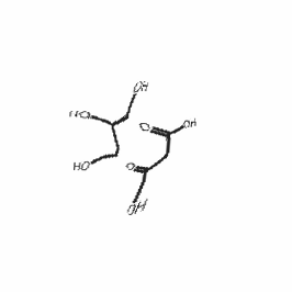 O=C(O)CC(=O)O.OCC(O)CO